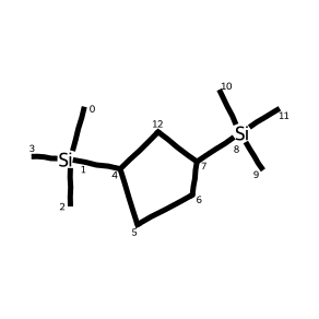 C[Si](C)(C)C1CCC([Si](C)(C)C)C1